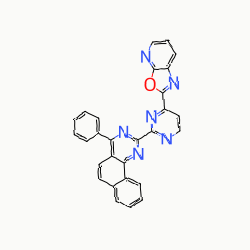 c1ccc(-c2nc(-c3nccc(-c4nc5cccnc5o4)n3)nc3c2ccc2ccccc23)cc1